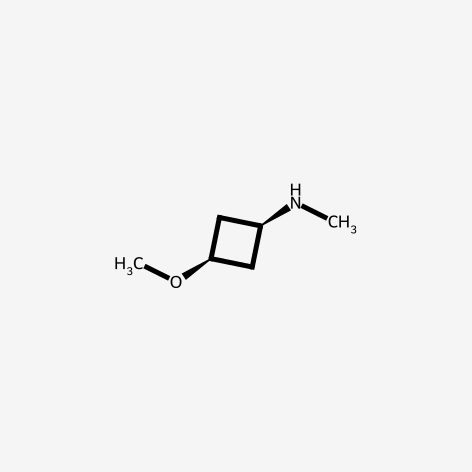 CN[C@H]1C[C@@H](OC)C1